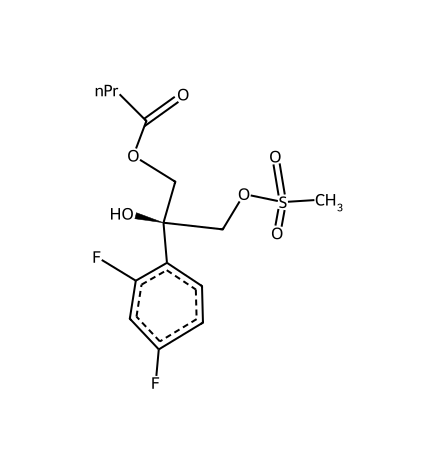 CCCC(=O)OC[C@](O)(COS(C)(=O)=O)c1ccc(F)cc1F